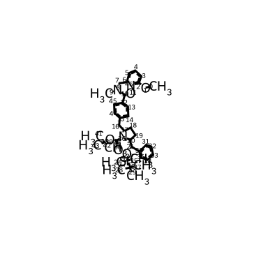 COc1cccc(CN(C)C(=O)c2ccc(CC3CCC([C@H](O[Si](C)(C)C(C)(C)C)c4ccccc4)N3C(=O)OC(C)(C)C)cc2)n1